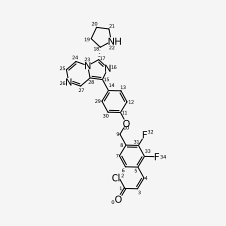 O=C(Cl)/C=C\c1ccc(COc2ccc(-c3nc([C@@H]4CCCN4)n4ccncc34)cc2)c(F)c1F